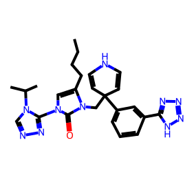 CCCCc1cn(-c2nncn2C(C)C)c(=O)n1CC1(c2cccc(-c3nnn[nH]3)c2)C=CNC=C1